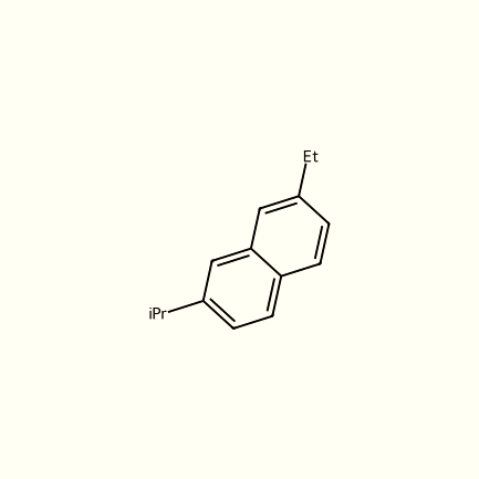 CCc1ccc2ccc(C(C)C)cc2c1